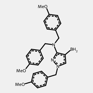 Bc1cn(Cc2ccc(OC)cc2)nc1N(Cc1ccc(OC)cc1)Cc1ccc(OC)cc1